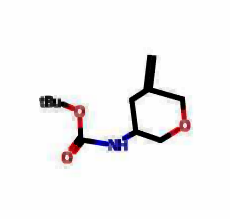 C=C1COCC(NC(=O)OC(C)(C)C)C1